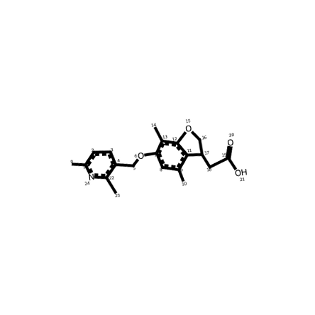 Cc1ccc(COc2cc(C)c3c(c2C)OCC3CC(=O)O)c(C)n1